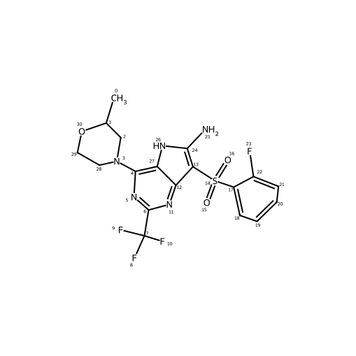 CC1CN(c2nc(C(F)(F)F)nc3c(S(=O)(=O)c4ccccc4F)c(N)[nH]c23)CCO1